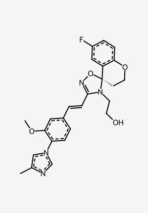 COc1cc(/C=C/C2=NO[C@]3(CCOc4ccc(F)cc43)N2CCO)ccc1-n1cnc(C)c1